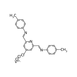 Cc1ccc(N=Cc2cc(Cl)cc(C=Nc3ccc(C)cc3)n2)cc1.[Cl-].[Cl-].[V+2]